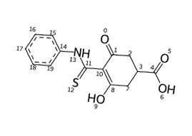 O=C1CC(C(=O)O)CC(O)=C1C(=S)Nc1ccccc1